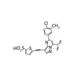 Cc1cc(-c2cc(C(F)F)n3ncc(C#Cc4ccc(S(=O)(=O)O)s4)c3n2)ccc1Cl